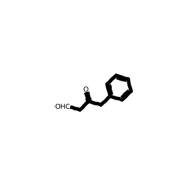 O=[C]CC(=O)Cc1ccccc1